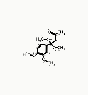 COc1ccc(C(CC(C)=O)(OC)OC)cc1OC